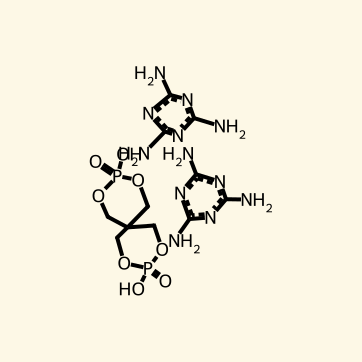 Nc1nc(N)nc(N)n1.Nc1nc(N)nc(N)n1.O=P1(O)OCC2(CO1)COP(=O)(O)OC2